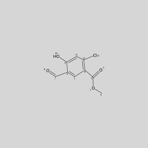 COC(=O)c1cc(C=O)c(O)cc1Cl